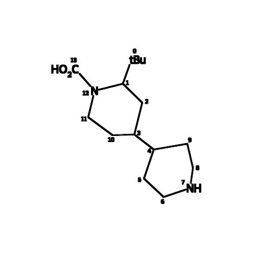 CC(C)(C)C1CC(C2CCNCC2)CCN1C(=O)O